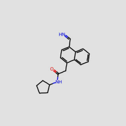 N=Cc1ccc(CC(=O)NC2CCCC2)c2ccccc12